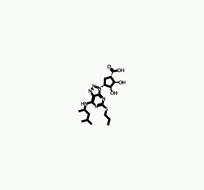 CCCSc1nc(NC(C)CC(C)C)c2nnn([C@@H]3C[C@H](C(=O)O)[C@@H](O)[C@H]3O)c2n1